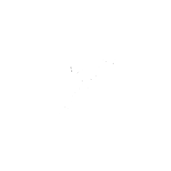 C=C(C)C(=O)OC12CC3CC(C(C)(C)OC4(C)COC(O)(C(F)(F)F)C4)(C1)CC(C(C)(C)OC1(C)COC(O)(C(F)(F)F)C1)(C3)C2